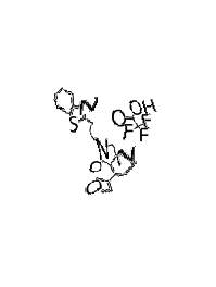 O=C(O)C(F)(F)F.O=C1c2c(-c3ccoc3)ccnc2CN1CCc1nc2ccccc2s1